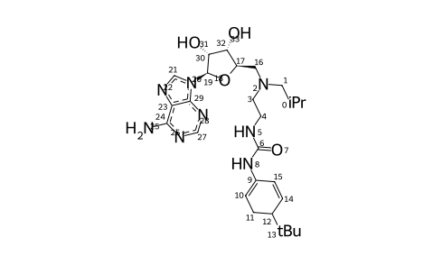 CC(C)CN(CCNC(=O)NC1=CCC(C(C)(C)C)C=C1)C[C@H]1O[C@@H](n2cnc3c(N)ncnc32)[C@H](O)[C@@H]1O